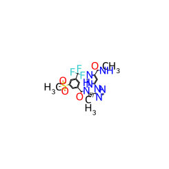 CNC(=O)c1cc(-n2ncnc2[C@H](C)NC(=O)c2cc(C(F)(F)F)cc(S(C)(=O)=O)c2)ncn1